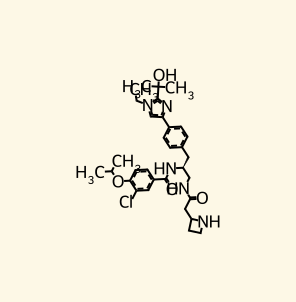 CCn1cc(-c2ccc(C[C@@H](CNC(=O)CC3CCN3)NC(=O)c3ccc(OC(C)C)c(Cl)c3)cc2)nc1C(C)(C)O